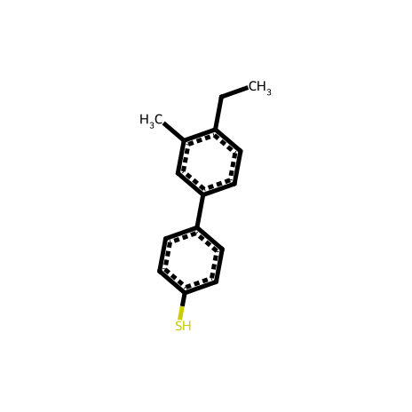 CCc1ccc(-c2ccc(S)cc2)cc1C